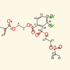 C=C(C)C(=O)OCCOC(=O)c1ccc(Br)c(Br)c1C(=O)OCCOC(=O)C(=C)C